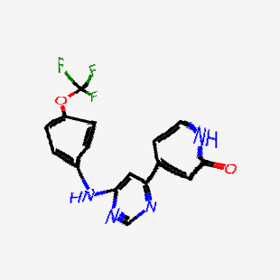 O=c1cc(-c2cc(Nc3ccc(OC(F)(F)F)cc3)ncn2)cc[nH]1